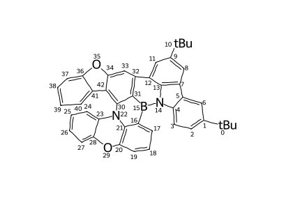 CC(C)(C)c1ccc2c(c1)c1cc(C(C)(C)C)cc3c1n2B1c2cccc4c2N(c2ccccc2O4)c2c1c-3cc1oc3ccccc3c21